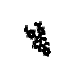 CC[C@@H](c1ccccc1)[C@@H](C(=O)O)N1C(=O)[C@@H](c2ccc(OC)cc2)N(c2nc(C(C)=O)cs2)C1=O